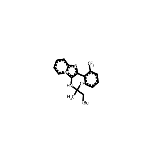 CC(C)(C)CC(C)(C)Nc1c(-c2ccccc2C(F)(F)F)nc2ccccn12